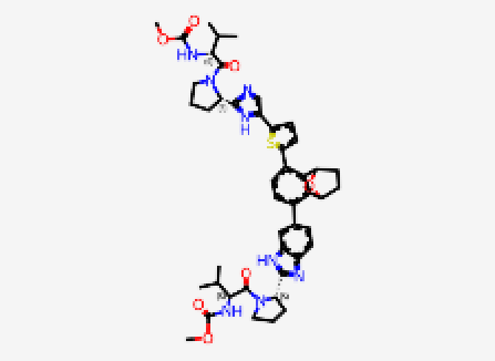 COC(=O)N[C@H](C(=O)N1CCC[C@H]1c1ncc(-c2ccc(-c3ccc(-c4ccc5nc([C@@H]6CCCN6C(=O)[C@@H](NC(=O)OC)C(C)C)[nH]c5c4)c4c3C3CCC4O3)s2)[nH]1)C(C)C